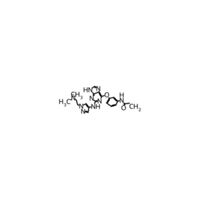 C=CC(=O)Nc1cccc(Oc2nc(Nc3cnn(CCN(C)C)c3)nc3[nH]cnc23)c1